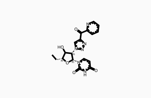 CC[C@H]1O[C@@H](n2ccc(=O)[nH]c2=O)[C@@H](n2cc(C(=O)c3ccccn3)nn2)C1O